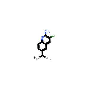 CC(C)c1ccc2nc(N)c(Cl)cc2c1